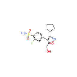 NS(=O)(=O)c1ccc(-c2c(C3CCCC3)noc2CO)cc1F